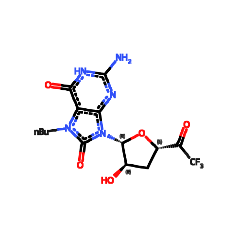 CCCCn1c(=O)n([C@@H]2O[C@H](C(=O)C(F)(F)F)C[C@H]2O)c2nc(N)[nH]c(=O)c21